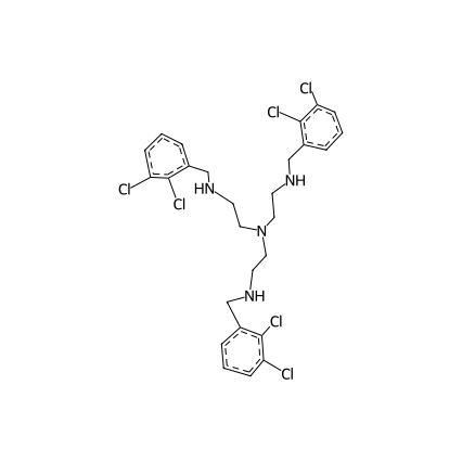 Clc1cccc(CNCCN(CCNCc2cccc(Cl)c2Cl)CCNCc2cccc(Cl)c2Cl)c1Cl